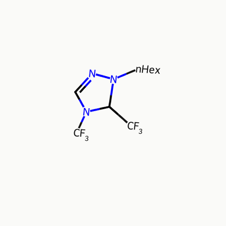 CCCCCCN1N=CN(C(F)(F)F)C1C(F)(F)F